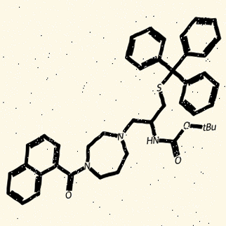 CC(C)(C)OC(=O)NC(CSC(c1ccccc1)(c1ccccc1)c1ccccc1)CN1CCCN(C(=O)c2cccc3ccccc23)CC1